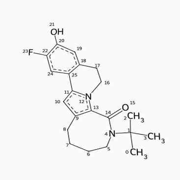 CC(C)(C)N1CCCCc2cc3n(c2C1=O)CCc1cc(O)c(F)cc1-3